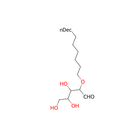 CCCCCCCCCCCCCCCCOC(C=O)C(O)C(O)CO